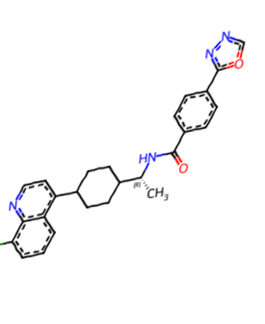 C[C@@H](NC(=O)c1ccc(-c2nnco2)cc1)C1CCC(c2ccnc3c(F)cccc23)CC1